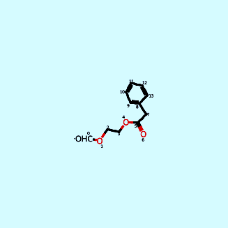 O=[C]OCCOC(=O)Cc1ccccc1